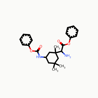 CC1(C)CC(NC(=O)Oc2ccccc2)CC(C)(C(N)C(=O)Oc2ccccc2)C1